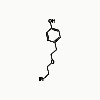 CC(C)CCOCCc1ccc(O)cc1